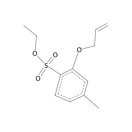 C=CCOc1cc(C)ccc1S(=O)(=O)OCC